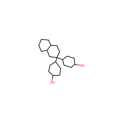 OC1CCC(C2(C3CCC(O)CC3)CCC3CCCCC3C2)CC1